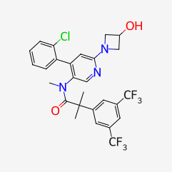 CN(C(=O)C(C)(C)c1cc(C(F)(F)F)cc(C(F)(F)F)c1)c1cnc(N2CC(O)C2)cc1-c1ccccc1Cl